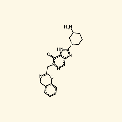 NC1CCCN(c2nc3cnn(CC4=NCc5ccccc5O4)c(=O)c3[nH]2)C1